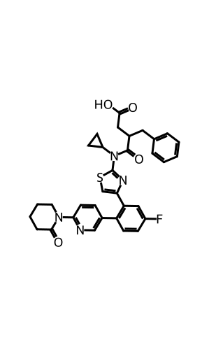 O=C(O)CC(Cc1ccccc1)C(=O)N(c1nc(-c2cc(F)ccc2-c2ccc(N3CCCCC3=O)nc2)cs1)C1CC1